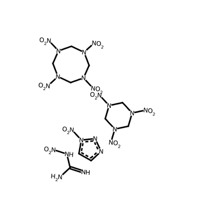 N=C(N)N[N+](=O)[O-].O=[N+]([O-])N1CN([N+](=O)[O-])CN([N+](=O)[O-])C1.O=[N+]([O-])N1CN([N+](=O)[O-])CN([N+](=O)[O-])CN([N+](=O)[O-])C1.O=[N+]([O-])n1ccnn1